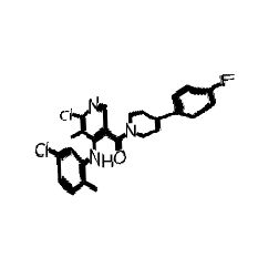 Cc1ccc(Cl)cc1Nc1c(C(=O)N2CCC(c3ccc(F)cc3)CC2)cnc(Cl)c1C